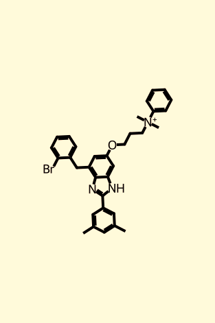 Cc1cc(C)cc(-c2nc3c(Cc4ccccc4Br)cc(OCCC[N+](C)(C)c4ccccc4)cc3[nH]2)c1